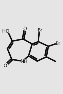 Cc1cc2[nH]c(=O)cc(O)c(=O)c2c(Br)c1Br